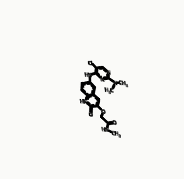 CNC(=O)COc1cc2cc(Nc3nc(N(C)C)ncc3Cl)ccc2[nH]c1=O